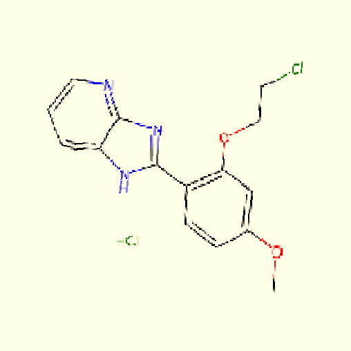 COc1ccc(-c2nc3ncccc3[nH]2)c(OCCCl)c1.Cl